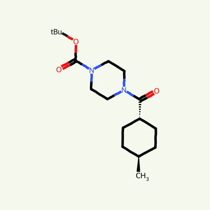 CC(C)(C)OC(=O)N1CCN(C(=O)[C@H]2CC[C@H](C)CC2)CC1